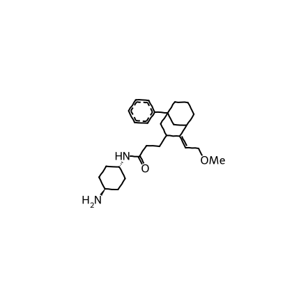 COC/C=C1\C2CCCC(c3ccccc3)(C2)CC1CCC(=O)N[C@H]1CC[C@H](N)CC1